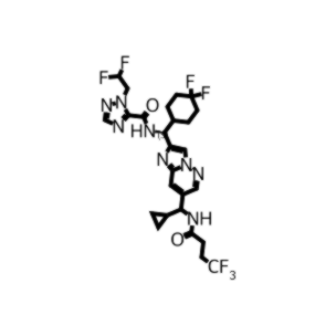 O=C(CCC(F)(F)F)NC(c1cnn2cc([C@@H](NC(=O)c3ncnn3CC(F)F)C3CCC(F)(F)CC3)nc2c1)C1CC1